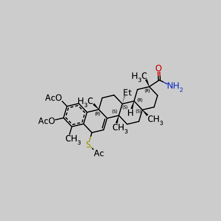 CC[C@@]12CC[C@]3(C)C(=CC(SC(C)=O)c4c3cc(OC(C)=O)c(OC(C)=O)c4C)[C@@]1(C)CC[C@@]1(C)CC[C@@](C)(C(N)=O)C[C@H]12